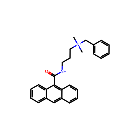 C[N+](C)(CCCNC(=O)c1c2ccccc2cc2ccccc12)Cc1ccccc1